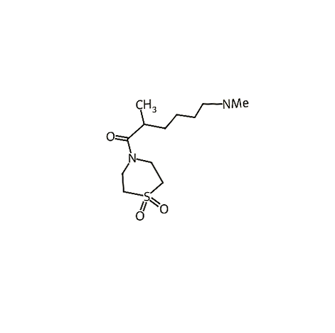 CNCCCCC(C)C(=O)N1CCS(=O)(=O)CC1